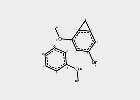 COc1cc(Br)cc2c1C2.COc1ccccc1